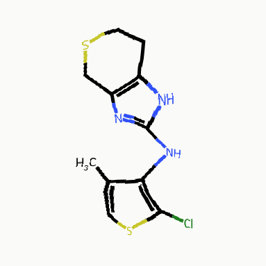 Cc1csc(Cl)c1Nc1nc2c([nH]1)CCSC2